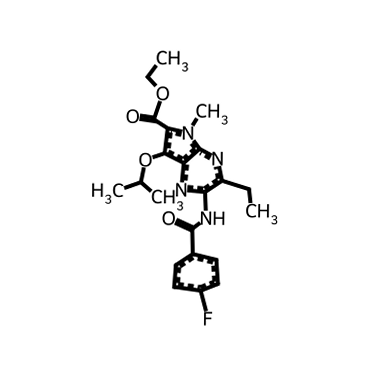 CCOC(=O)c1c(OC(C)C)c2nc(NC(=O)c3ccc(F)cc3)c(CC)nc2n1C